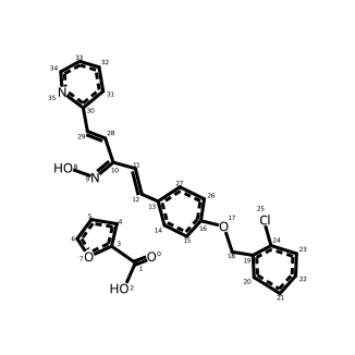 O=C(O)c1ccco1.ON=C(C=Cc1ccc(OCc2ccccc2Cl)cc1)C=Cc1ccccn1